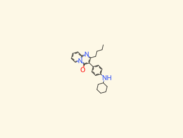 CCCCc1nc2ccccn2c(=O)c1-c1ccc(NC2CCCCC2)cc1